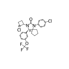 O=C1N(C2CC[C@H]2Cl)[C@H](c2cccc(OC(F)(F)F)c2)C2(CCCC2)N1c1ccc(Cl)cc1